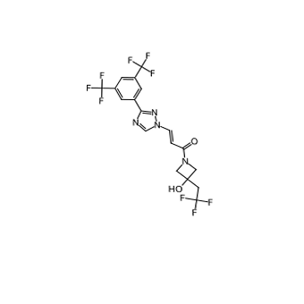 O=C(C=Cn1cnc(-c2cc(C(F)(F)F)cc(C(F)(F)F)c2)n1)N1CC(O)(CC(F)(F)F)C1